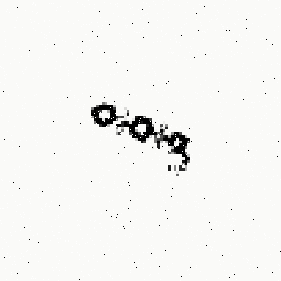 NCc1ccc(S(=O)(=O)c2ccc(S(=O)(=O)c3ccccc3)cc2)s1